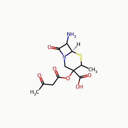 CC(=O)CC(=O)OC1(C(=O)O)CN2C(=O)C(N)[C@H]2SC1C